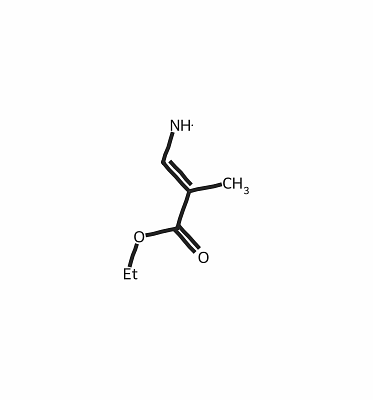 CCOC(=O)C(C)=C[NH]